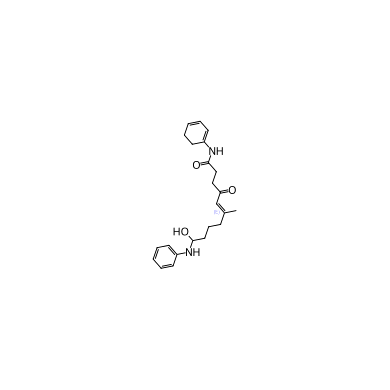 C/C(=C\C(=O)CCC(=O)NC1=CC=CCC1)CCCC(O)Nc1ccccc1